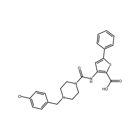 O=C(O)c1sc(-c2ccccc2)cc1NC(=O)N1CCN(Cc2ccc(Cl)cc2)CC1